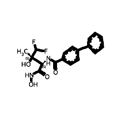 C[C@@](O)(C(F)F)[C@H](NC(=O)c1ccc(-c2ccccc2)cc1)C(=O)NO